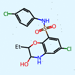 CCC1Oc2c(cc(Cl)cc2S(=O)(=O)Nc2ccc(Cl)cc2)NC1O